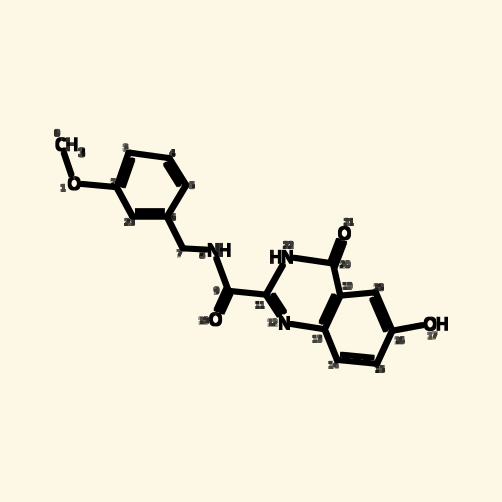 COc1cccc(CNC(=O)c2nc3ccc(O)cc3c(=O)[nH]2)c1